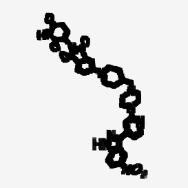 O=C1CCC(N2C(=O)c3ccc(N4CCC(CN5CCN(c6cc(-c7n[nH]c8ccc([N+](=O)[O-])cc78)ccn6)CC5)CC4)cc3C2=O)C(=O)N1